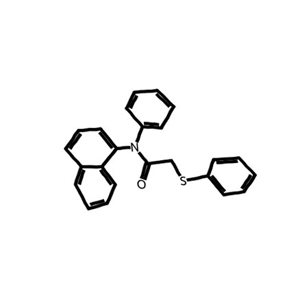 O=C(CSc1ccccc1)N(c1ccccc1)c1cccc2ccccc12